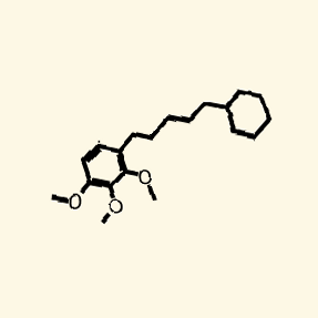 COc1c[c]c(CCCCCC2CCCCC2)c(OC)c1OC